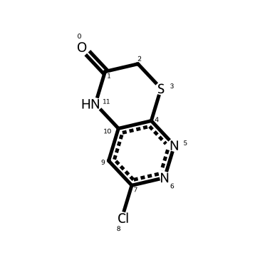 O=C1CSc2nnc(Cl)cc2N1